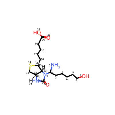 NC(CCCCCO)N1C(=O)N[C@H]2CS[C@@H](CCCCC(=O)O)[C@H]21